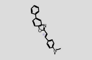 CN(C)c1ccc(/C=C/c2nc3cc(-c4ccccc4)ccc3o2)cc1